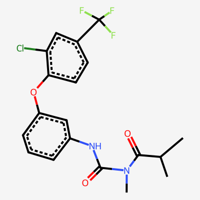 CC(C)C(=O)N(C)C(=O)Nc1cccc(Oc2ccc(C(F)(F)F)cc2Cl)c1